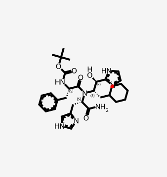 CC(C)(C)OC(=O)N[C@@H](Cc1ccccc1)C(=O)N([C@@H](Cc1c[nH]cn1)C(N)=O)[C@@H](CC1CCCCC1)[C@@H](O)c1ncc[nH]1